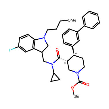 COCCCN1CC(CN(C(=O)[C@H]2CN(C(=O)OC(C)(C)C)CC[C@@H]2c2cccc(-c3ccccc3)c2)C2CC2)c2cc(F)ccc21